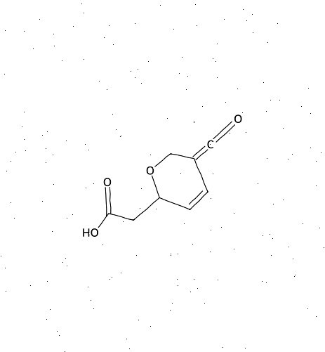 O=C=C1C=CC(CC(=O)O)OC1